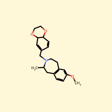 COc1ccc2c(c1)CCN(CC1=CC3OCCOC3C=C1)C(C)C2